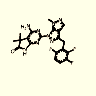 Cn1ncc2c(Cc3c(F)ccc(F)c3F)nn(-c3nc(N)c4c(n3)NC(=O)C4(C)C)c21